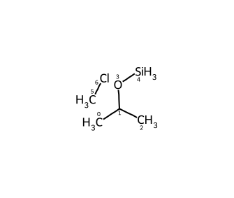 CC(C)O[SiH3].CCl